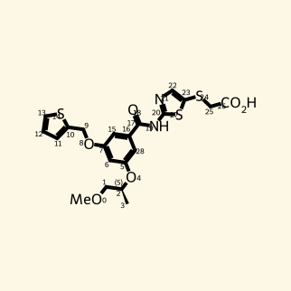 COC[C@H](C)Oc1cc(OCc2cccs2)cc(C(=O)Nc2ncc(SCC(=O)O)s2)c1